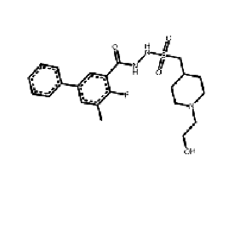 Cc1cc(-c2ccccc2)cc(C(=O)NNS(=O)(=O)CC2CCN(CCO)CC2)c1F